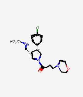 O=C(O)NC[C@H]1CN(C(=O)CCN2CCOCC2)C[C@H]1c1ccc(Cl)cc1